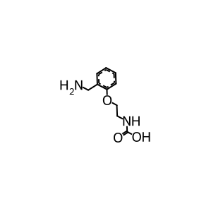 NCc1ccccc1OCCNC(=O)O